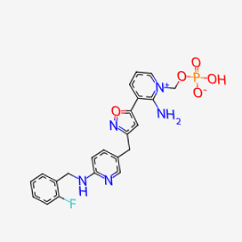 Nc1c(-c2cc(Cc3ccc(NCc4ccccc4F)nc3)no2)ccc[n+]1COP(=O)([O-])O